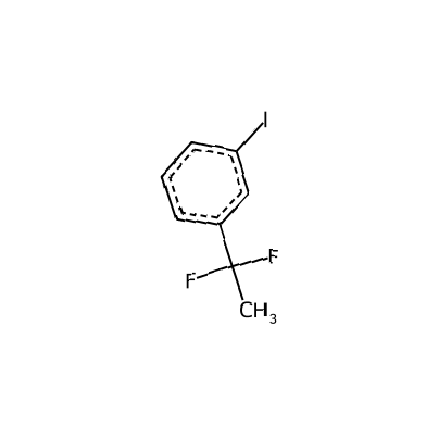 CC(F)(F)c1cccc(I)c1